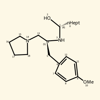 CCCCCCC[C@@H](O)N[C@@H](Cc1ccc(OC)cc1)CN1CCCC1